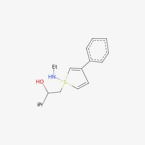 CCNS1(CC(O)C(C)C)C=CC(c2ccccc2)=C1